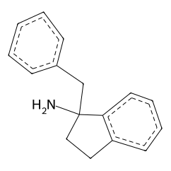 NC1(Cc2ccccc2)CCc2ccccc21